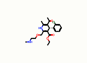 CCOC(=O)C1=C(COCCNC)NC(C)=C(C(C)=O)[C@@H]1c1ccccc1Cl